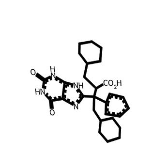 O=C(O)C(CC1CCCCC1)C(CC1CCCCC1)(c1ccccc1)c1nc2c(=O)[nH]c(=O)[nH]c2[nH]1